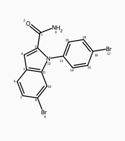 NC(=O)c1cc2ccc(Br)cc2n1-c1ccc(Br)cc1